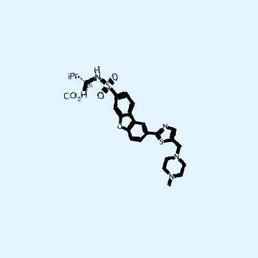 CC(C)[C@H](NS(=O)(=O)c1ccc2c(c1)oc1ccc(-c3ncc(CN4CCN(C)CC4)s3)cc12)C(=O)O